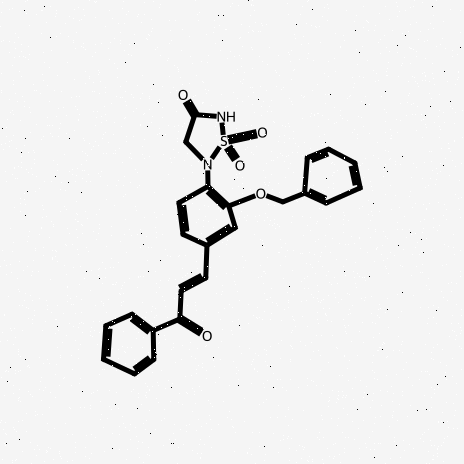 O=C1CN(c2ccc(/C=C/C(=O)c3ccccc3)cc2OCc2ccccc2)S(=O)(=O)N1